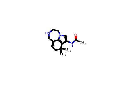 CC(=O)Nc1cn2c3c1C(C)(C)CC=C3CNCC2